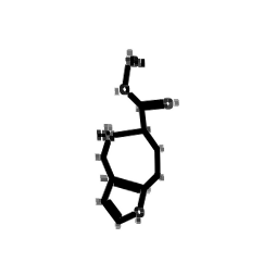 CC(C)(C)OC(=O)C1CCc2occc2CN1